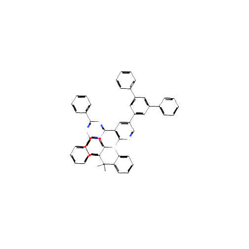 CC1(C)c2ccccc2N(c2ncc(-c3cc(-c4ccccc4)cc(-c4ccccc4)c3)cc2-c2nc(-c3ccccc3)nc(-c3ccccc3)n2)c2ccccc21